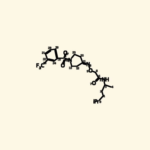 CC(C)CCC(C)NC(=O)CON=C1CCN(S(=O)(=O)c2cccc(C(F)(F)F)c2)CC1